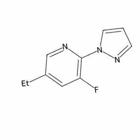 CCc1cnc(-n2cccn2)c(F)c1